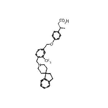 CC(CC(=O)O)c1ccc(OCc2ccc(CN3CCC4(CCc5ccccc54)CC3)c(C(F)(F)F)c2)cc1